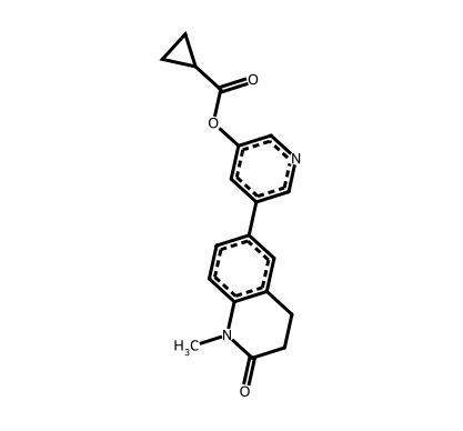 CN1C(=O)CCc2cc(-c3cncc(OC(=O)C4CC4)c3)ccc21